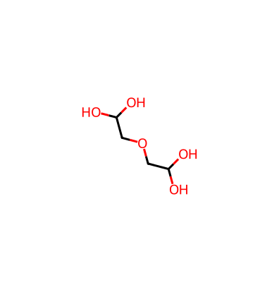 OC(O)COCC(O)O